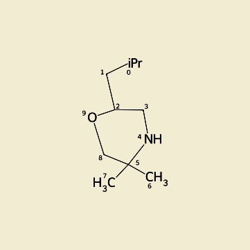 CC(C)CC1CNC(C)(C)CO1